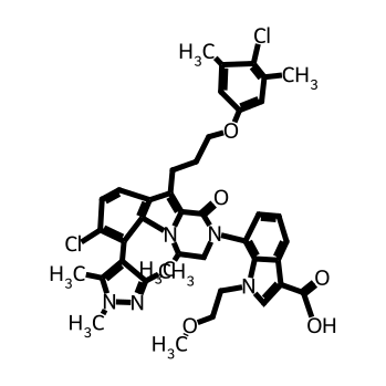 COCCn1cc(C(=O)O)c2cccc(N3CC(C)n4c(c(CCCOc5cc(C)c(Cl)c(C)c5)c5ccc(Cl)c(-c6c(C)nn(C)c6C)c54)C3=O)c21